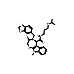 CC(C)OCCCNC(=O)C1c2c(n(C)c3ccccc23)SCC(=O)N1Cc1ccc2c(c1)OCO2